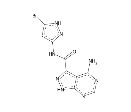 Nc1ncnc2[nH]nc(C(=O)Nc3cc(Br)[nH]n3)c12